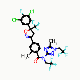 Cc1cc(C2=NOC(c3cc(Cl)c(F)c(Cl)c3)(C(F)(F)F)C2)ccc1C(=O)N(CC(F)(F)F)c1nc(C)n(CC(F)(F)F)n1